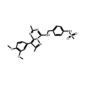 COc1ccc(-c2c(C)nn3c(NCc4ccc(NS(C)(=O)=O)cc4)nc(C)nc23)cc1OC